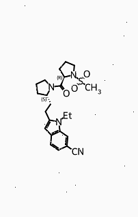 CCn1c(CC[C@@H]2CCCN2C(=O)[C@H]2CCCN2S(C)(=O)=O)cc2ccc(C#N)cc21